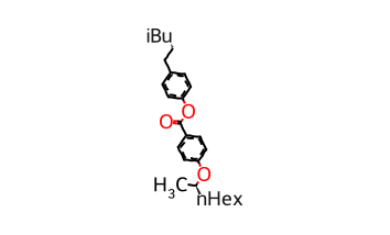 CCCCCC[C@@H](C)Oc1ccc(C(=O)Oc2ccc(CC[C@@H](C)CC)cc2)cc1